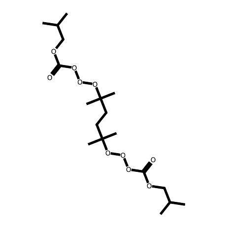 CC(C)COC(=O)OOOC(C)(C)CCC(C)(C)OOOC(=O)OCC(C)C